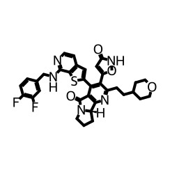 O=C1c2c(nc(CCC3CCOCC3)c(-c3cc(=O)[nH]o3)c2-c2cc3ccnc(NCc4ccc(F)c(F)c4)c3s2)[C@@H]2CCCN12